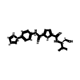 CC(C)[C@@H](CO)NC(=O)c1ccc(C(=O)Nc2ccc(-n3cncn3)cc2)s1